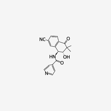 CC1(C)C(=O)c2ccc(C#N)cc2[C@H](NC(=O)c2ccncc2)[C@H]1O